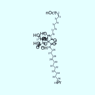 CCCCCCCC/C=C\CCCCCCCC(=O)C(O[C@H](C(O)CO)P(=O)(O)O)(C(=O)CCCCCCCCCCCCC(C)C)[C@@H](O)CO